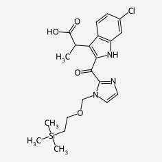 CC(C(=O)O)c1c(C(=O)c2nccn2COCC[Si](C)(C)C)[nH]c2cc(Cl)ccc12